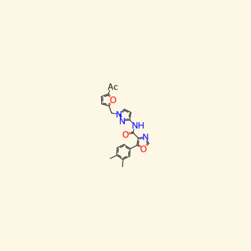 CC(=O)c1ccc(Cn2ccc(NC(=O)c3ncoc3-c3ccc(C)c(C)c3)n2)o1